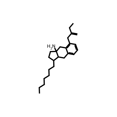 C=C(CC)Cc1cccc2c1CC1(N)CCC(CCCCCCC)C1C2